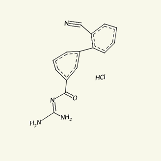 Cl.N#Cc1ccccc1-c1cccc(C(=O)N=C(N)N)c1